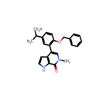 CC(C(=O)O)c1ccc(OCc2ccccc2)c(-c2cn(C)c(=O)c3[nH]ccc23)c1